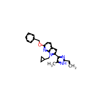 C=Cc1nc(-c2cc3ccc(OCc4ccccc4)nc3n2CC2CC2)c(C)[nH]1